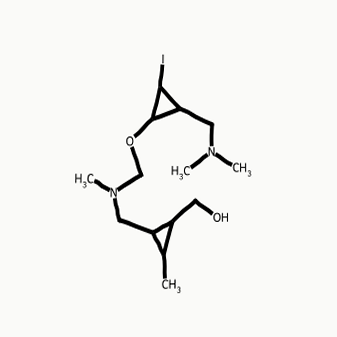 CC1C(CO)C1CN(C)COC1C(I)C1CN(C)C